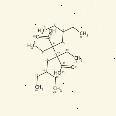 CCC(CC)CC(CC)(C(=O)O)C(CC)(CC(CC)CC)C(=O)O